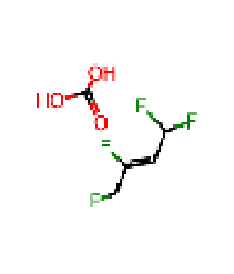 FCC(F)=CC(F)F.O=C(O)O